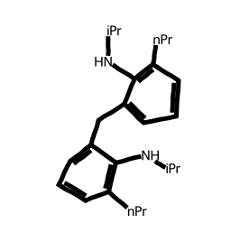 CCCc1cccc(Cc2cccc(CCC)c2NC(C)C)c1NC(C)C